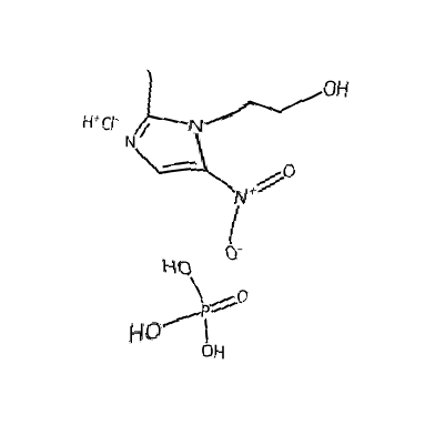 Cc1ncc([N+](=O)[O-])n1CCO.O=P(O)(O)O.[Cl-].[H+]